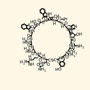 CCCC[C@H]1C(=O)N(C)[C@@H](CCCC)C(=O)N[C@@H](CCCNC(=N)N)C(=O)NC(C(=O)NCC(N)=O)CSCC(=O)N[C@@H](Cc2ccc(O)cc2)C(=O)N(C)[C@@H](C)C(=O)N[C@@H](CC(N)=O)C(=O)N2C[C@H](O)C[C@H]2C(=O)N[C@@H](Cc2cnc[nH]2)C(=O)N[C@@H](CC(C)C)C(=O)NC2(C[C@@H]2C)C(=O)N[C@@H](Cc2c[nH]c3ccccc23)C(=O)N[C@@H](CO)C(=O)N[C@@H](Cc2csc3ccccc23)C(=O)N1C